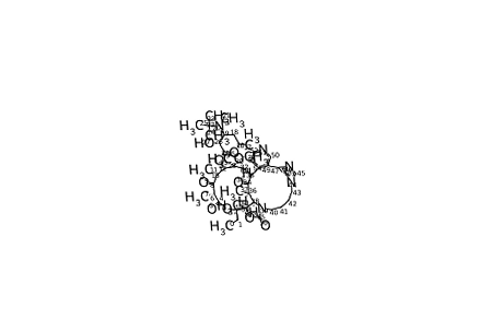 CC[C@H]1OC(=O)[C@H](C)C(=O)[C@H](C)[C@@H](O[C@@H]2O[C@H](C)C[C@H](N(C)C(C)(C)C)[C@H]2O)[C@](C)(OC)C[C@@H]2C(=O)[C@H](C)[C@H]3N(CCCCn4cnc(c4)-c4cnccc42)C(=O)O[C@]13C